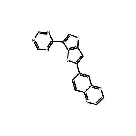 c1ncnc(-c2csc3cc(-c4ccc5nccnc5c4)sc23)n1